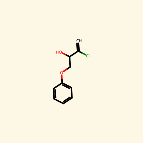 [CH]=C(Cl)C(O)COc1ccccc1